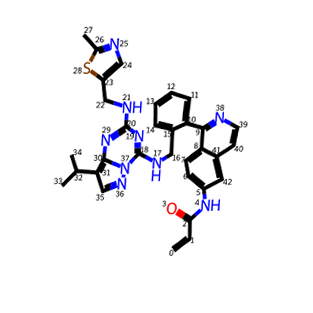 C=CC(=O)Nc1ccc2c(-c3ccccc3CNc3nc(NCc4cnc(C)s4)nc4c(C(C)C)cnn34)nccc2c1